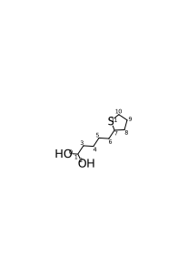 OC(O)CCCCC1CCCS1